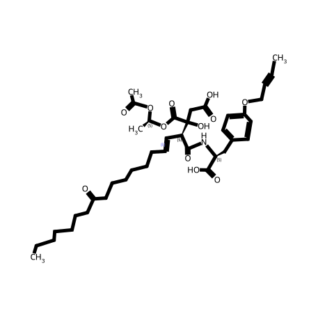 CC#CCOc1ccc(C[C@H](NC(=O)[C@@H](/C=C/CCCCCCC(=O)CCCCCCC)C(O)(CC(=O)O)C(=O)O[C@@H](C)OC(C)=O)C(=O)O)cc1